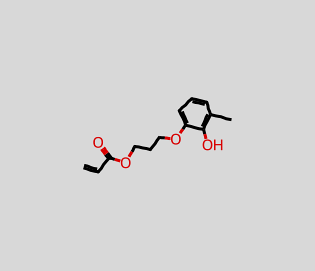 C=CC(=O)OCCCOc1cccc(C)c1O